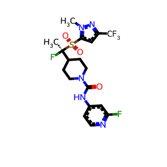 Cn1nc(C(F)(F)F)cc1S(=O)(=O)[C@](C)(F)C1CCN(C(=O)Nc2ccnc(F)c2)CC1